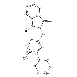 O=C1c2ccccc2C(O)N1Cc1ccc(Cl)c(C2CCNCC2)c1